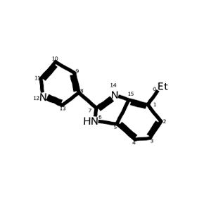 CCc1cccc2[nH]c(-c3cccnc3)nc12